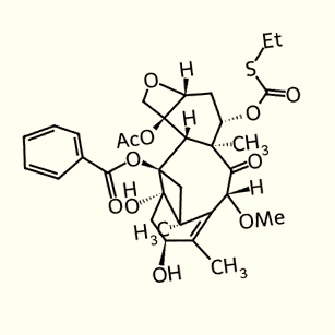 CCSC(=O)O[C@H]1C[C@H]2OC[C@@]2(OC(C)=O)[C@@H]2[C@]1(C)C(=O)[C@H](OC)C1=C(C)[C@@H](O)C[C@]3(O)[C@@]1(C)C[C@@]23OC(=O)c1ccccc1